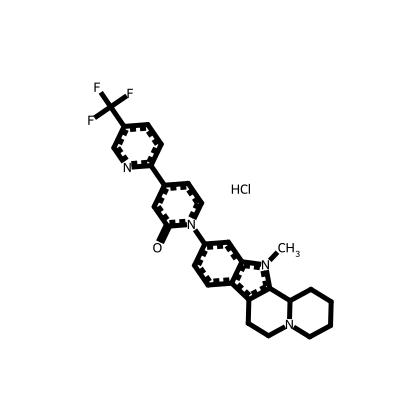 Cl.Cn1c2c(c3ccc(-n4ccc(-c5ccc(C(F)(F)F)cn5)cc4=O)cc31)CCN1CCCCC21